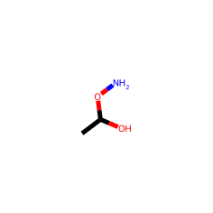 CC(O)ON